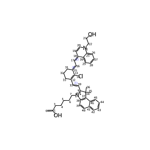 C=C(O)CCCCC[N+]1=C(/C=C/C2=C(Cl)C(=C/C=C3/C=CN(CCO)c4ccccc43)/CCC2)C(C)(C)c2c1ccc1ccccc21